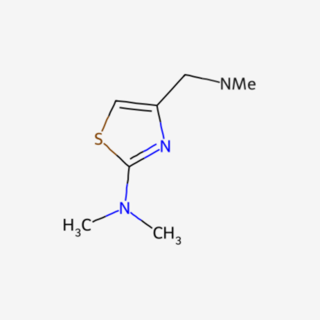 CNCc1csc(N(C)C)n1